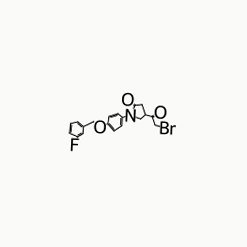 O=C(CBr)C1CC(=O)N(c2ccc(OCc3cccc(F)c3)cc2)C1